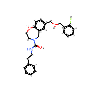 O=C(NCCc1ccccc1)N1CCOc2ccc(COCc3ccccc3F)cc2C1